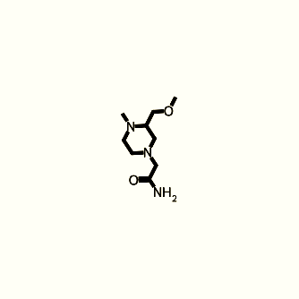 COCC1CN(CC(N)=O)CCN1C